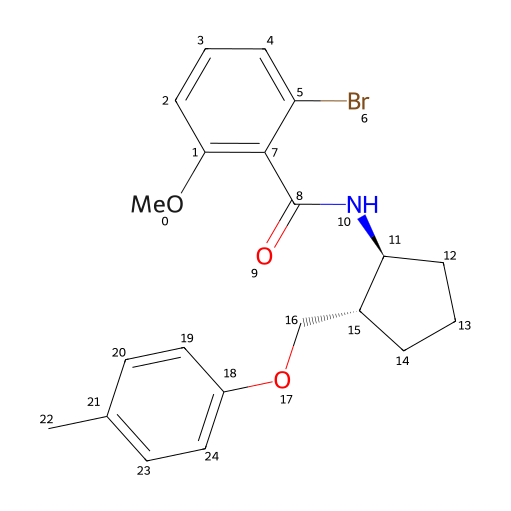 COc1cccc(Br)c1C(=O)N[C@H]1CCC[C@@H]1COc1ccc(C)cc1